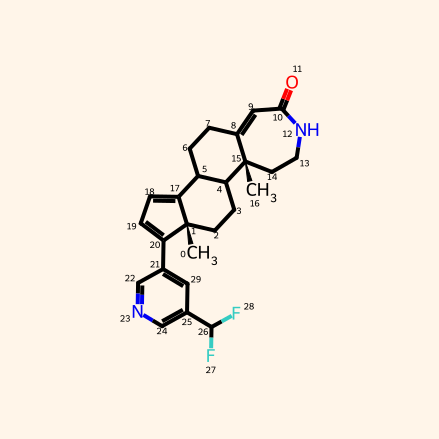 C[C@]12CCC3C(CCC4=CC(=O)NCC[C@@]43C)C1=CC=C2c1cncc(C(F)F)c1